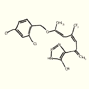 C=C(/C=C(\C=C(/C)OCc1ccc(Cl)cc1Cl)C(F)(F)F)c1nn[nH]c1C#N